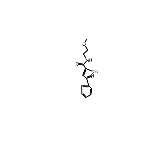 COCCNC(=O)c1cc(-c2ccccc2)n[nH]1